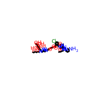 CC#CCn1c(N2CCCC(N)C2)nc2c1c(=O)n(Cc1ccc(Cl)cc1C(=O)OCCOCCn1cc(CN(CCCCCC)CC(O)C(O)C(O)C(O)CO)nn1)c(=O)n2C